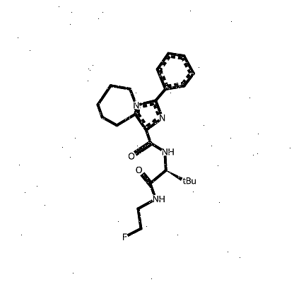 CC(C)(C)[C@H](NC(=O)c1nc(-c2ccccc2)n2c1CCCCC2)C(=O)NCCF